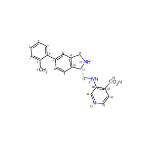 Cc1ccccc1-c1ccc2c(c1)CN[C@@H]2CNc1cnccc1C(=O)O